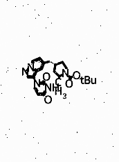 C[C@H]1C[C@H](Cc2ccn3ncc(-n4ccc(=O)[nH]c4=O)c3c2)CCN1C(=O)OC(C)(C)C